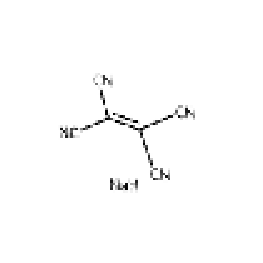 N#CC(C#N)=C(C#N)C#N.[NaH]